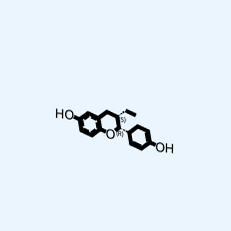 CC[C@H]1Cc2cc(O)ccc2O[C@H]1C1C=CC(O)=CC1